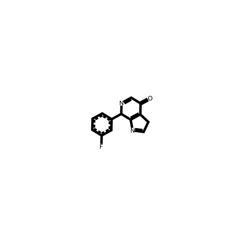 O=C1C=NC(c2cccc(F)c2)C2=C1CC=N2